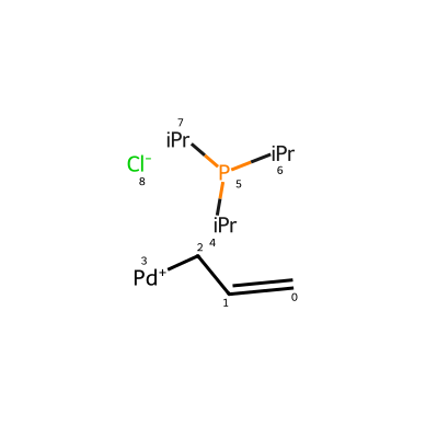 C=C[CH2][Pd+].CC(C)P(C(C)C)C(C)C.[Cl-]